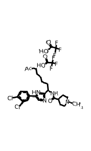 CC(=O)CCCCCC(NC(=O)C1CCN(C)CC1)c1ncc(-c2ccc(Cl)c(Cl)c2)[nH]1.O=C(O)C(F)(F)F.O=C(O)C(F)(F)F